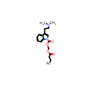 CC(=O)CCC(=O)OCOC(=O)n1cc(CCN(C)C)c2ccccc21